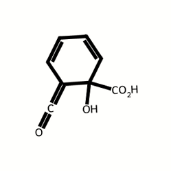 O=C=C1C=CC=CC1(O)C(=O)O